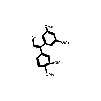 COc1cc(OC)cc(/C(=C\C(C)=O)c2ccc(OC)c(OC)c2)c1